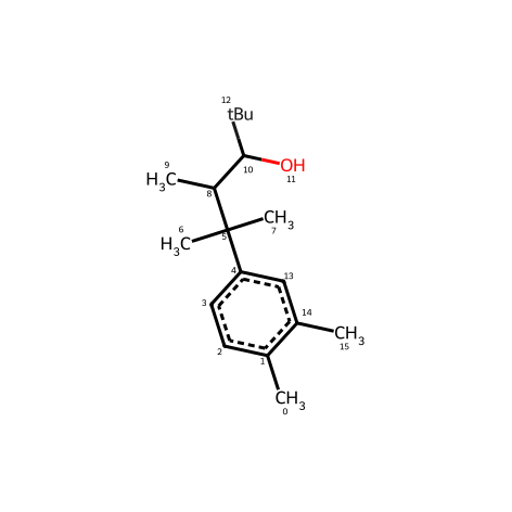 Cc1ccc(C(C)(C)C(C)C(O)C(C)(C)C)cc1C